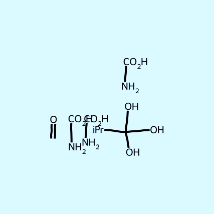 C=O.CC(C)C(O)(O)O.NC(=O)O.NC(=O)O.NC(=O)O